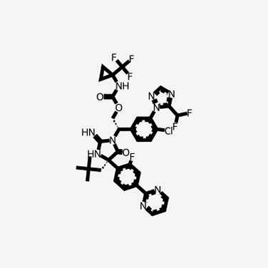 CC(C)(C)C[C@]1(c2ccc(-c3ncccn3)cc2F)NC(=N)N([C@H](COC(=O)NC2(C(F)(F)F)CC2)c2ccc(Cl)c(-n3ncnc3C(F)F)c2)C1=O